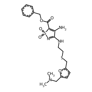 CN(C)Cc1ccc(CSCCNC2=NS(=O)(=O)C(C(=O)OCc3ccccc3)=C2N)o1